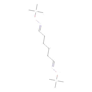 C[Si](C)(C)O/N=C/CCCC/C=N/O[Si](C)(C)C